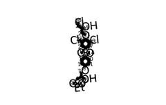 CCS(=O)(=O)CC(O)COc1ccc(S(=O)(=O)c2cc(Cl)c(OCC(O)CCl)c(Cl)c2)cc1